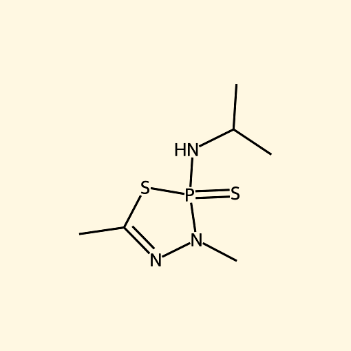 CC1=NN(C)P(=S)(NC(C)C)S1